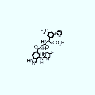 O=C(O)CC(NC(=O)CNC(=O)C1=CC(NC2=NCC(F)CN2)=C2C=NNC2C=C1)c1cc(-n2cccn2)cc(C(F)(F)F)c1